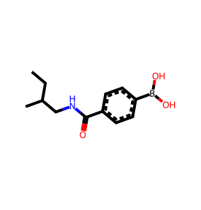 CCC(C)CNC(=O)c1ccc(B(O)O)cc1